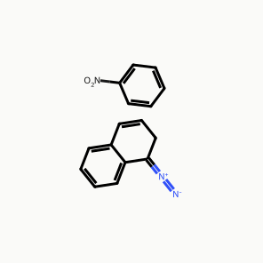 O=[N+]([O-])c1ccccc1.[N-]=[N+]=C1CC=Cc2ccccc21